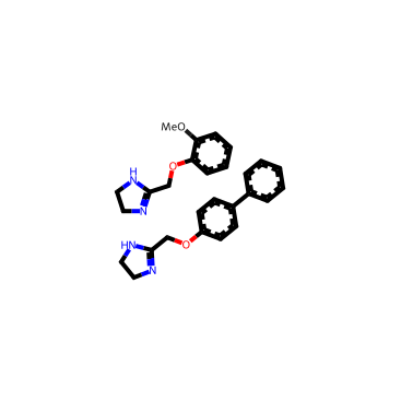 COc1ccccc1OCC1=NCCN1.c1ccc(-c2ccc(OCC3=NCCN3)cc2)cc1